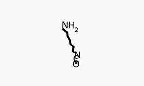 NCCCCCCCN=C=O